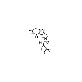 CN1C(=O)c2c3c(nn2CCC12CC2)CCN(C(=O)Nc1ccc(F)c(Cl)c1)C3